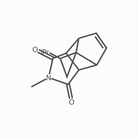 CC(C)C1CC12C1C=CC2C2C(=O)N(C)C(=O)C21